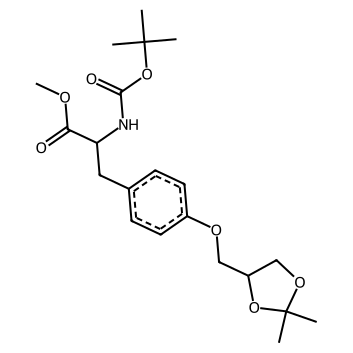 COC(=O)C(Cc1ccc(OCC2COC(C)(C)O2)cc1)NC(=O)OC(C)(C)C